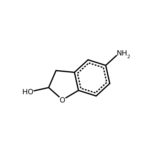 Nc1ccc2c(c1)CC(O)O2